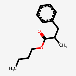 CCCCOC(=O)C(C)Cc1ccccc1